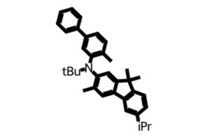 Cc1ccc(-c2ccccc2)cc1N(c1cc2c(cc1C)-c1cc(C(C)C)ccc1C2(C)C)C(C)(C)C